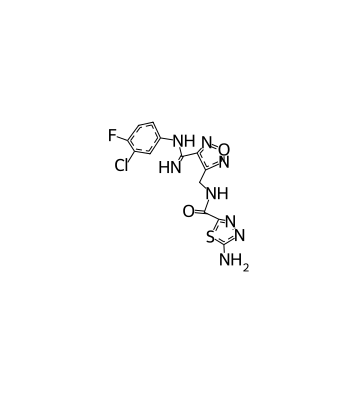 N=C(Nc1ccc(F)c(Cl)c1)c1nonc1CNC(=O)c1nnc(N)s1